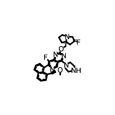 C#Cc1cccc2cccc(-c3nc(OC)c4c(N5CCNCC5)nc(OC[C@@]56CCCN5C[C@H](F)C6)nc4c3F)c12